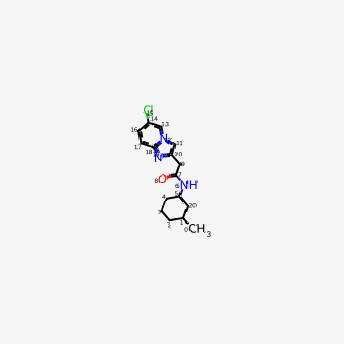 CC1CCCC(NC(=O)Cc2cn3cc(Cl)ccc3n2)C1